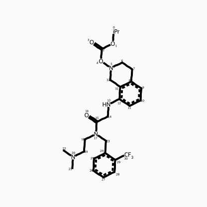 CC(C)OC(=O)ON1CCc2cccc(NCC(=O)N(CCN(C)C)Cc3ccccc3C(F)(F)F)c2C1